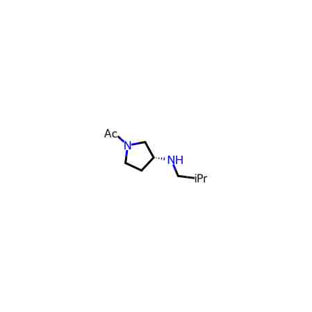 CC(=O)N1CC[C@@H](NCC(C)C)C1